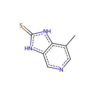 Cc1cncc2[nH]c(=S)[nH]c12